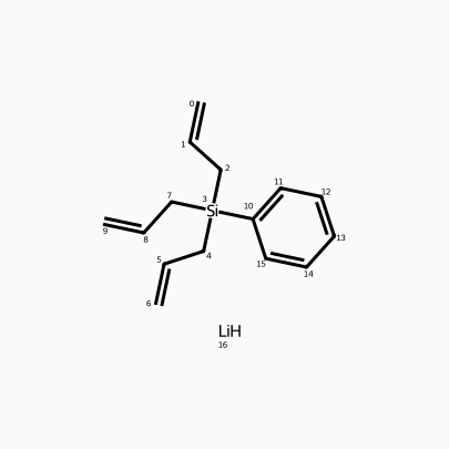 C=CC[Si](CC=C)(CC=C)c1ccccc1.[LiH]